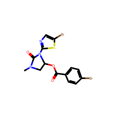 CN1CC(OC(=O)c2ccc(Br)cc2)N(c2ncc(Br)s2)C1=O